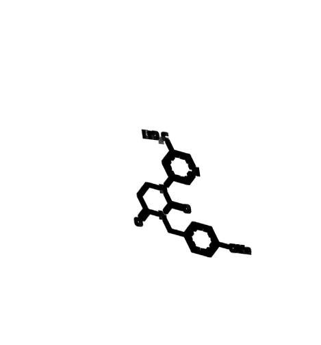 CCOC(=O)c1cncc(N2CCC(=O)N(Cc3ccc(OC)cc3)C2=O)c1